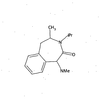 CNC1C(=O)N(C(C)C)C(C)Cc2ccccc21